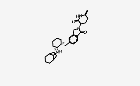 C=C1CCC(N2Cc3cc(C[C@H]4CCCC[C@@H]4NC4C5CCCC4CC5)ccc3C2=O)C(=O)N1